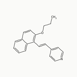 CCCOc1ccc2ccccc2c1C=Cc1ccncc1